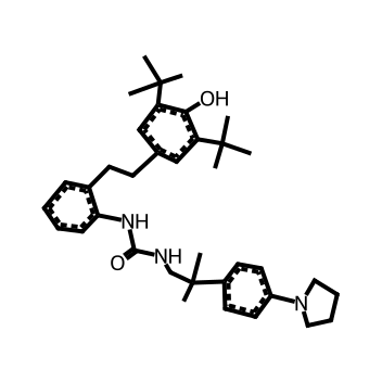 CC(C)(C)c1cc(CCc2ccccc2NC(=O)NCC(C)(C)c2ccc(N3CCCC3)cc2)cc(C(C)(C)C)c1O